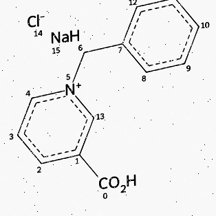 O=C(O)c1ccc[n+](Cc2ccccc2)c1.[Cl-].[NaH]